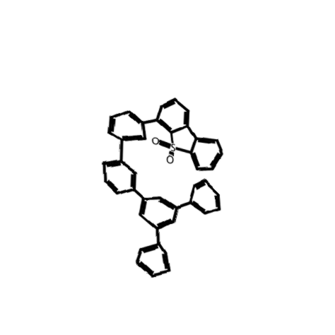 O=S1(=O)c2ccccc2-c2cccc(-c3cccc(-c4cccc(-c5cc(-c6ccccc6)cc(-c6ccccc6)c5)c4)c3)c21